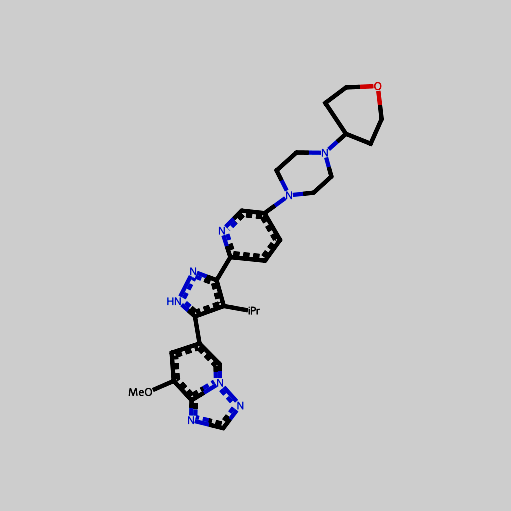 COc1cc(-c2[nH]nc(-c3ccc(N4CCN(C5CCOCC5)CC4)cn3)c2C(C)C)cn2ncnc12